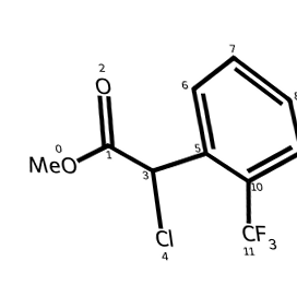 COC(=O)C(Cl)c1ccccc1C(F)(F)F